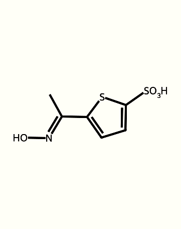 C/C(=N\O)c1ccc(S(=O)(=O)O)s1